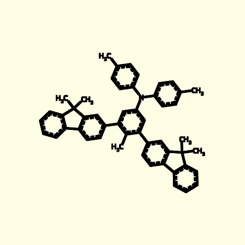 Cc1ccc(N(c2ccc(C)cc2)c2cc(-c3ccc4c(c3)C(C)(C)c3ccccc3-4)c(C)c(-c3ccc4c(c3)C(C)(C)c3ccccc3-4)c2)cc1